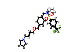 CN(CC1CCC(COCC=CCN2CCCC2)CC1)S(=O)(=O)c1ccc(C(F)(F)F)cc1